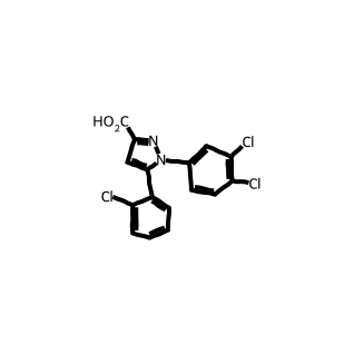 O=C(O)c1cc(-c2ccccc2Cl)n(-c2ccc(Cl)c(Cl)c2)n1